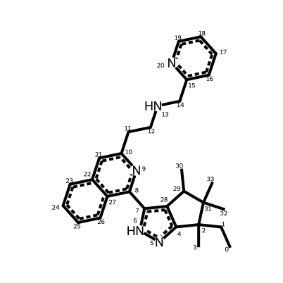 CCC1(C)c2n[nH]c(-c3nc(CCNCc4ccccn4)cc4ccccc34)c2C(C)C1(C)C